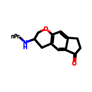 CCCNC1COc2cc3c(cc2C1)C(=O)CC3